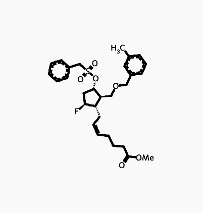 COC(=O)CCC/C=C\C[C@H]1[C@H](COCc2cccc(C)c2)[C@@H](OS(=O)(=O)Cc2ccccc2)C[C@@H]1F